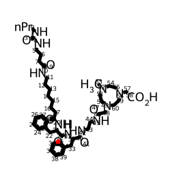 CCCNC(=O)NCCCC(=O)NCCCCCCCC(=O)NC(Cc1ccccc1)C(=O)NC(Cc1ccccc1)C(=O)NCCNC(=O)CN1CCN(C)CCN(CC(=O)O)CC1